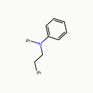 CC(C)CCN(c1ccccc1)C(C)C